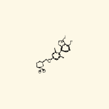 Cc1cc(OCC2CCCS(=O)(=O)C2)cc(C)c1-c1ccc(F)c2c1CC[C@H]2I